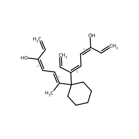 C=C/C(O)=C\C=C(/C)C1(/C(C=C)=C/C=C(/O)C=C)CCCCC1